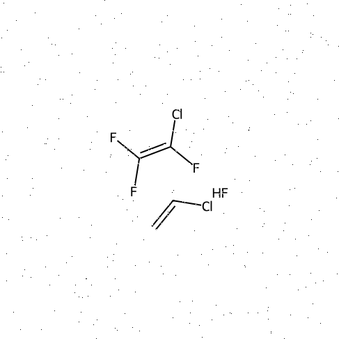 C=CCl.F.FC(F)=C(F)Cl